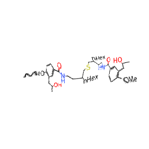 CCCCCCC(CCNC(=O)c1ccc(OC)c(CC(C)O)c1)CSCC(CCCCCC)CCNC(=O)c1ccc(OC)c(CC(C)O)c1